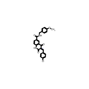 COc1ccc(CNC(=O)c2ccc3c(c2)C(=O)/C(=C/c2ccc(Cl)cc2)C(=O)N3)cc1